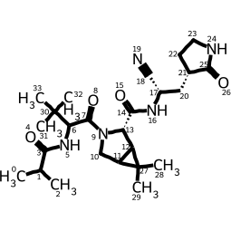 CC(C)C(=O)NC(C(=O)N1CC2C([C@H]1C(=O)N[C@H](C#N)C[C@@H]1CCNC1=O)C2(C)C)C(C)(C)C